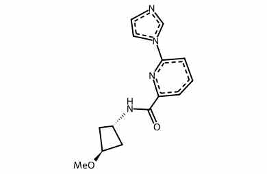 CO[C@H]1C[C@H](NC(=O)c2cccc(-n3ccnc3)n2)C1